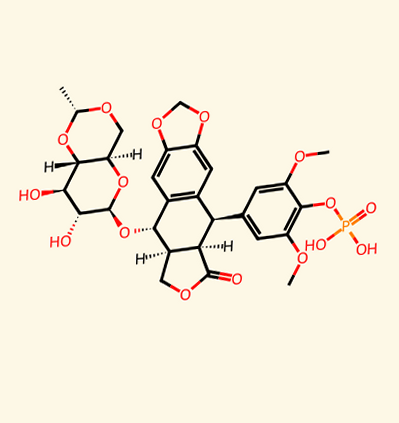 COc1cc([C@@H]2c3cc4c(cc3[C@@H](O[C@@H]3O[C@@H]5CO[C@@H](C)O[C@H]5[C@H](O)[C@H]3O)[C@@H]3COC(=O)[C@H]23)OCO4)cc(OC)c1OP(=O)(O)O